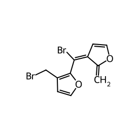 C=c1occ/c1=C(\Br)c1occc1CBr